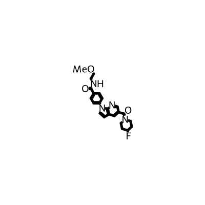 COCCNC(=O)c1ccc(-n2ccc3cc(C(=O)N4CCC(F)CC4)cnc32)cc1